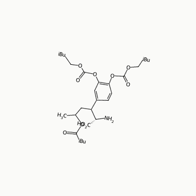 CCC(C)COC(=O)Oc1ccc(C(CC(C)OC(=O)C(C)CC)[C@H](N)C(=O)O)cc1OC(=O)OCC(C)CC